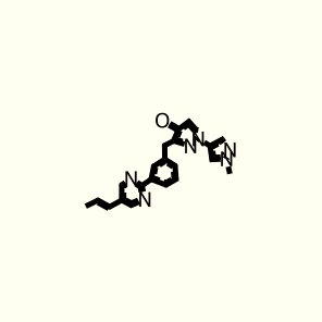 CC=Cc1cnc(-c2cccc(Cc3nn(-c4cnn(C)c4)ccc3=O)c2)nc1